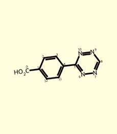 O=C(O)c1ccc(-c2nncnn2)cc1